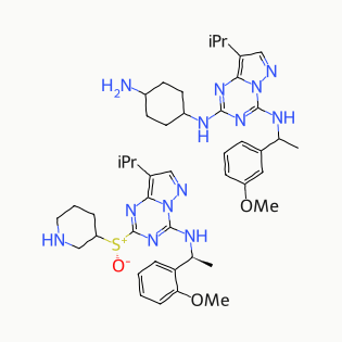 COc1cccc(C(C)Nc2nc(NC3CCC(N)CC3)nc3c(C(C)C)cnn23)c1.COc1ccccc1[C@H](C)Nc1nc([S@+]([O-])C2CCCNC2)nc2c(C(C)C)cnn12